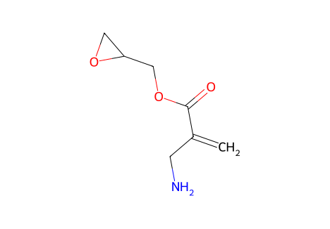 C=C(CN)C(=O)OCC1CO1